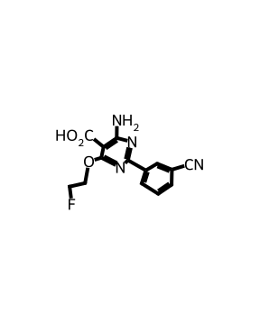 N#Cc1cccc(-c2nc(N)c(C(=O)O)c(OCCF)n2)c1